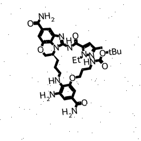 CCn1nc(C)cc1C(=O)Nc1nc2cc(C(N)=O)cc3c2n1[C@@H](CCCNc1c(N)cc(C(N)=O)cc1OCCCNC(=O)OC(C)(C)C)CO3